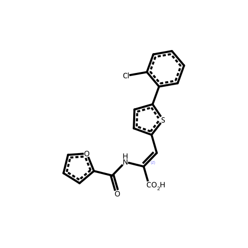 O=C(O)/C(=C/c1ccc(-c2ccccc2Cl)s1)NC(=O)c1ccco1